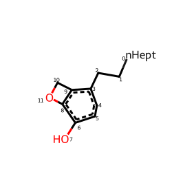 CCCCCCCCCc1ccc(O)c2c1CO2